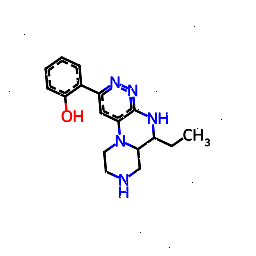 CCC1Nc2nnc(-c3ccccc3O)cc2N2CCNCC12